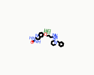 Cl.Cl.O=c1[nH]c2cc3cc(OCCCc4nnnn4C4CCCCN4Cc4ccccc4)ccc3nc2[nH]1